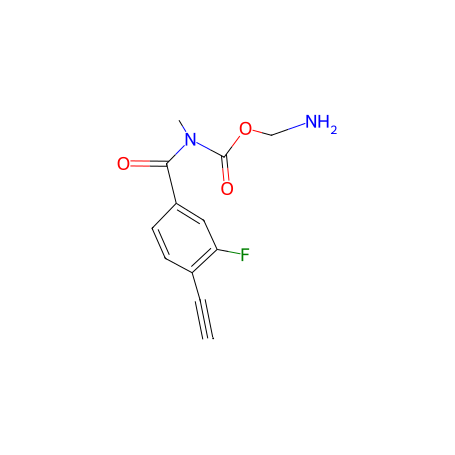 [C]#Cc1ccc(C(=O)N(C)C(=O)OCN)cc1F